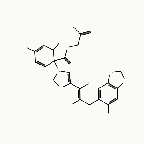 C=C(C)COC(=O)C1(N2C=C(C(CC)=C(Cc3cc4c(cc3OC)OCO4)C(=O)O)NC2)C=CC(OC)=CC1CCCC